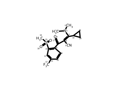 CN(C)C(=C(C#N)C(=O)c1ccc(C(F)(F)F)cc1S(C)(=O)=O)C1CC1